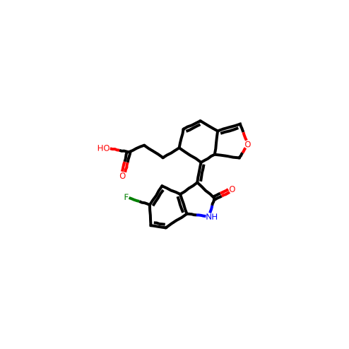 O=C(O)CCC1C=CC2=COCC2C1=C1C(=O)Nc2ccc(F)cc21